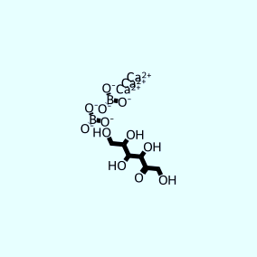 O=C(CO)C(O)C(O)C(O)CO.[Ca+2].[Ca+2].[Ca+2].[O-]B([O-])[O-].[O-]B([O-])[O-]